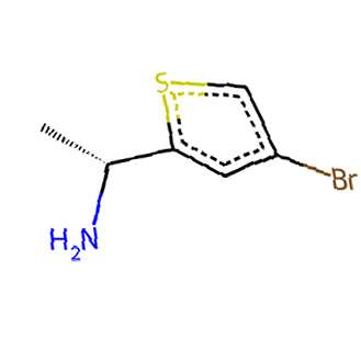 C[C@@H](N)c1cc(Br)cs1